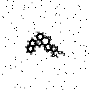 CN[C@@H](C)C(=O)NC1CNc2ccccc2N(Cc2cccc3ccccc23)C1=O